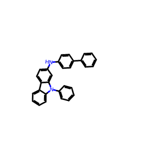 c1ccc(-c2ccc(Nc3ccc4c5ccccc5n(-c5ccccc5)c4c3)cc2)cc1